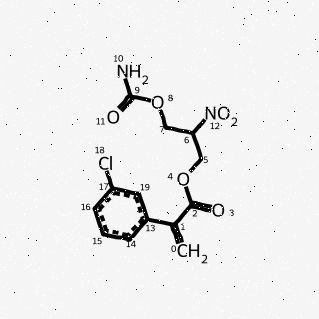 C=C(C(=O)OCC(COC(N)=O)[N+](=O)[O-])c1cccc(Cl)c1